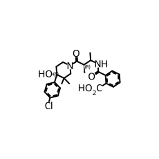 CC(NC(=O)c1ccccc1C(=O)O)[C@@H](C)C(=O)N1CC[C@](O)(c2ccc(Cl)cc2)C(C)(C)C1